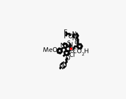 COc1cccc(-c2ncc3snc(O[C@H](Cc4ccccc4OCc4ccnc(OCC(F)F)n4)C(=O)O)c3c2C2=C(C)C(Cl)=C(OCCN3CCN(C)CC3)C(C)C2)c1